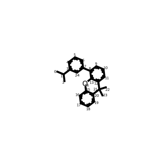 CC(C)c1cccc(-c2cccc3c2Oc2ccccc2C3(C)C)c1